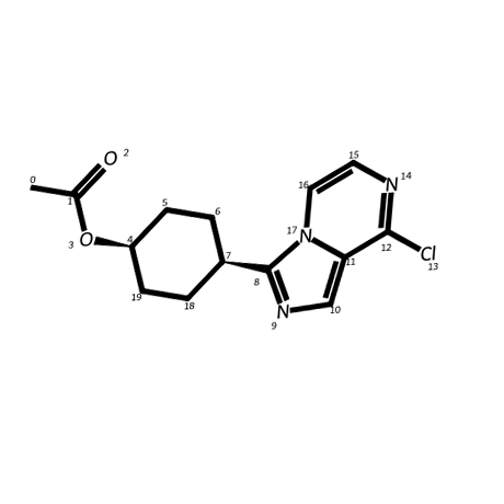 CC(=O)O[C@H]1CC[C@@H](c2ncc3c(Cl)nccn32)CC1